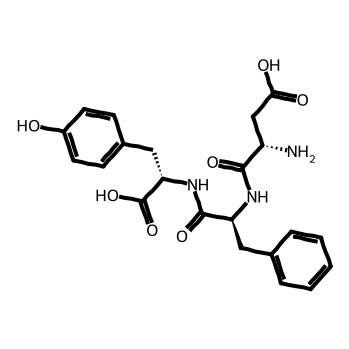 N[C@@H](CC(=O)O)C(=O)N[C@@H](Cc1ccccc1)C(=O)N[C@@H](Cc1ccc(O)cc1)C(=O)O